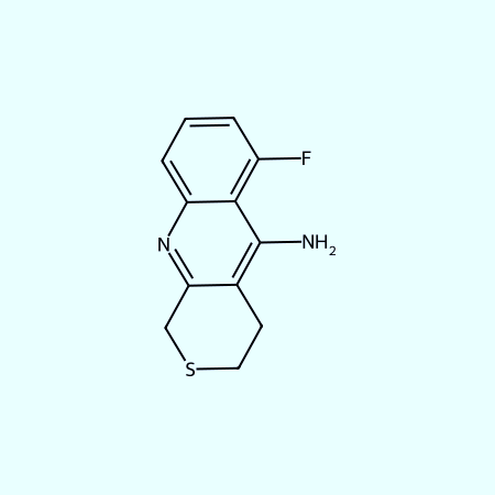 Nc1c2c(nc3cccc(F)c13)CSCC2